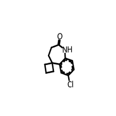 O=C1CCC2(CCC2)c2cc(Cl)ccc2N1